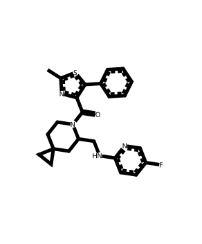 Cc1nc(C(=O)N2CCC3(CC3)CC2CNc2ccc(F)cn2)c(-c2ccccc2)s1